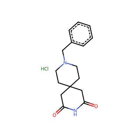 Cl.O=C1CC2(CCN(Cc3ccccc3)CC2)CC(=O)N1